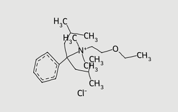 CCOCC[N+](C)(C)C(CC(C)C)(CC(C)C)c1ccccc1.[Cl-]